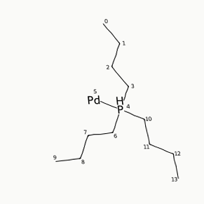 CCCC[PH]([Pd])(CCCC)CCCC